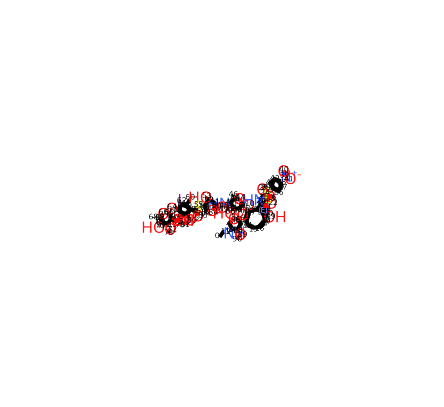 CCN[C@H]1CO[C@@H](O[C@H]2[C@H](O[C@H]3C#CC=CC#C[C@]4(O)CC(=O)C(NC(=O)OC)=C3/C4=C\CSSc3ccc([N+](=O)[O-])cc3)O[C@H](C)[C@@H](NO[C@H]3C[C@H](O)[C@H](SC(=O)c4c(C)c(I)c(O[C@@H]5O[C@@H](C)[C@H](O)[C@@H](OC)[C@H]5O)c(OC)c4OC)[C@@H](C)O3)[C@@H]2O)C[C@@H]1OC